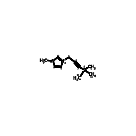 Cn1cc[n+](CC#C[Si](C)(C)C)c1